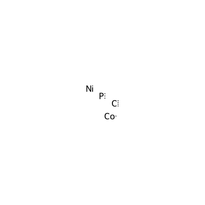 [C].[Co].[Ni].[P]